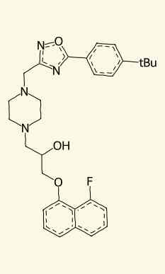 CC(C)(C)c1ccc(-c2nc(CN3CCN(CC(O)COc4cccc5cccc(F)c45)CC3)no2)cc1